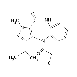 CC(C)c1nn(C)c2c1N(C(=O)CCl)c1ccccc1NC2=O